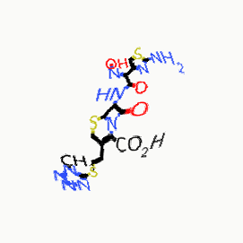 Cn1nnnc1SC=CC1=C(C(=O)O)N2C(=O)C(NC(=O)C(=NO)c3csc(N)n3)C2SC1